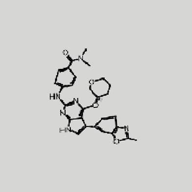 Cc1nc2ccc(-c3c[nH]c4nc(Nc5ccc(C(=O)N(C)C)cc5)nc(O[C@@H]5CCCOC5)c34)cc2o1